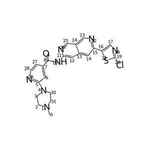 CN1CCN(c2cc(C(=O)Nc3cc4cc(-c5cnc(Cl)s5)ncc4cn3)ccn2)CC1